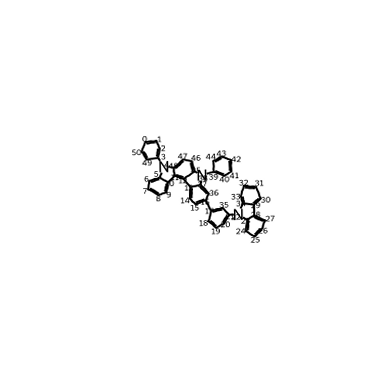 c1ccc(-n2c3ccccc3c3c4c5ccc(-c6cccc(-n7c8ccccc8c8ccccc87)c6)cc5n(-c5ccccc5)c4ccc32)cc1